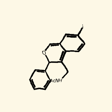 CC(=O)NCC1=c2ccc(I)cc2=COC1c1ccccc1